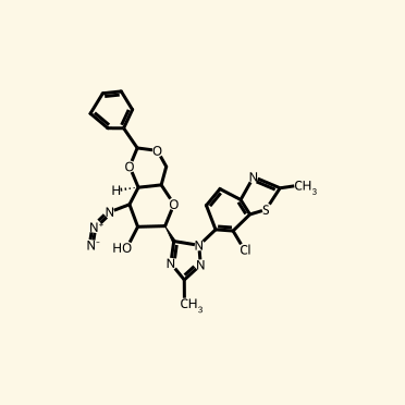 Cc1nc([C@@H]2OC3COC(c4ccccc4)O[C@@H]3C(N=[N+]=[N-])C2O)n(-c2ccc3nc(C)sc3c2Cl)n1